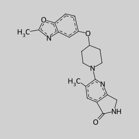 Cc1nc2cc(OC3CCN(c4nc5c(cc4C)C(=O)NC5)CC3)ccc2o1